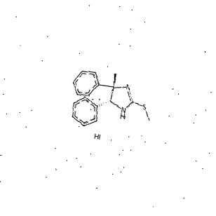 CSC1=N[C@@](C)(c2ccccc2)[C@@H](c2ccccc2)N1.I